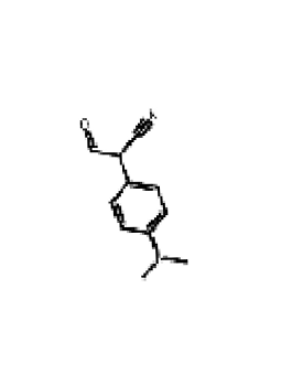 CN(C)c1ccc(C(C#N)C=O)cc1